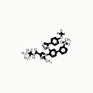 Cc1nc(C(=O)NC(C)(C)C)cn1-c1ccc(-c2cccc(S(C)(=O)=O)c2)cc1-n1nncc1-c1ccc(OC(F)(F)F)cc1